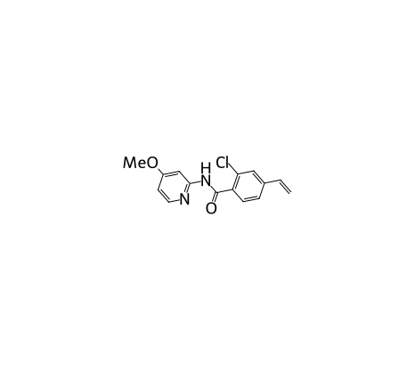 C=Cc1ccc(C(=O)Nc2cc(OC)ccn2)c(Cl)c1